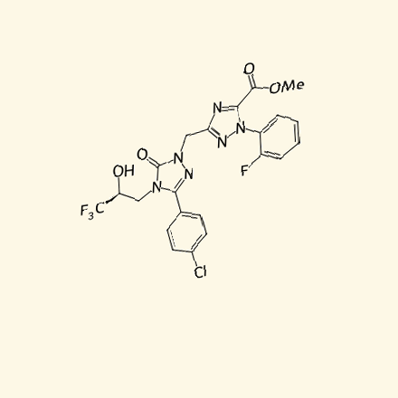 COC(=O)c1nc(Cn2nc(-c3ccc(Cl)cc3)n(C[C@H](O)C(F)(F)F)c2=O)nn1-c1ccccc1F